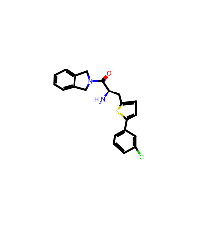 N[C@H](Cc1ccc(-c2cccc(Cl)c2)s1)C(=O)N1Cc2ccccc2C1